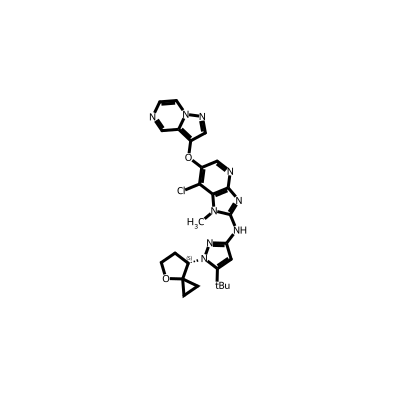 Cn1c(Nc2cc(C(C)(C)C)n([C@H]3CCOC34CC4)n2)nc2ncc(Oc3cnn4ccncc34)c(Cl)c21